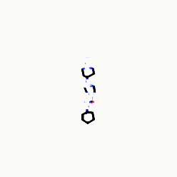 O=C(N[C]1CCCCC1)N1CCN(C2CCNCC2)CC1